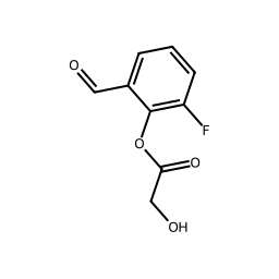 O=Cc1cccc(F)c1OC(=O)CO